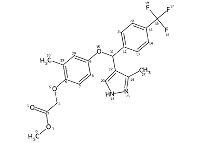 COC(=O)COc1ccc(OC(c2ccc(C(F)(F)F)cc2)c2c[nH]nc2C)cc1C